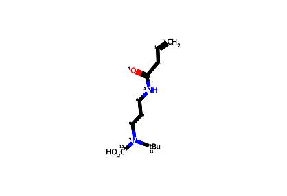 C=CCC(=O)NCCCN(C(=O)O)C(C)(C)C